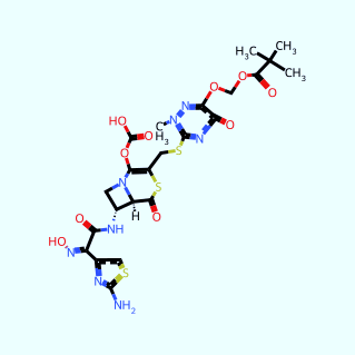 Cn1nc(OCOC(=O)C(C)(C)C)c(=O)nc1SCC1=C(OC(=O)O)N2C[C@@H](NC(=O)/C(=N\O)c3csc(N)n3)[C@@H]2C(=O)S1